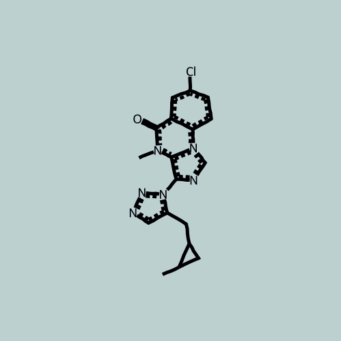 CC1CC1Cc1cnnn1-c1ncn2c3ccc(Cl)cc3c(=O)n(C)c12